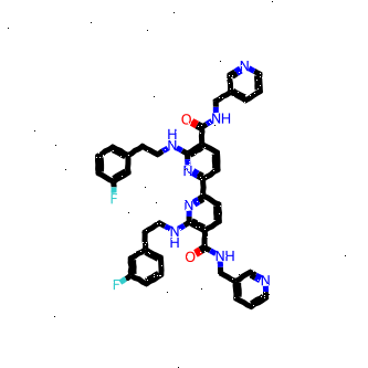 O=C(NCc1cccnc1)c1ccc(-c2ccc(C(=O)NCc3cccnc3)c(NCCc3cccc(F)c3)n2)nc1NCCc1cccc(F)c1